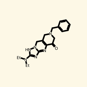 CCN(CC)C1=NC2=NC3=C(CN(Cc4ccccc4)CC3=O)CN2N1